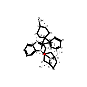 Cc1nc2ccccc2n1C1C[C@H]2CC[C@@H](C1)N2CCCC1(c2ccccc2)CCC(N)CC1